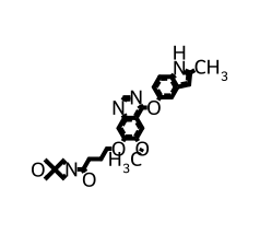 COc1cc2c(Oc3ccc4[nH]c(C)cc4c3)ncnc2cc1OCCCC(=O)N1CC2(COC2)C1